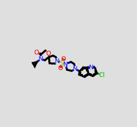 O=C1COC2(CCN(S(=O)(=O)N3CCN(c4ccc5cc(Cl)cnc5c4)CC3)CC2)CN1C1CC1